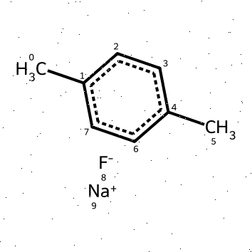 Cc1ccc(C)cc1.[F-].[Na+]